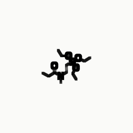 CCO[Si](CCN(C)C(=O)CC)(OCC)OCC